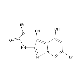 CC(C)(C)OC(=O)Nc1nn2cc(Br)cc(O)c2c1C#N